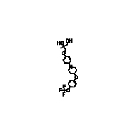 CC(O)(CO)COc1ccc(N2CCC(Oc3ccc(OC(F)(F)F)cc3)CC2)cc1